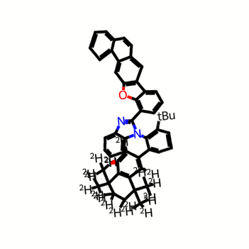 [2H]c1c([2H])c2c(c([2H])c1-c1cccc(C(C)(C)C)c1-n1c(-c3cccc4c3oc3cc5c(ccc6ccccc65)cc34)nc3ccccc31)C(C([2H])([2H])[2H])(C([2H])([2H])[2H])C([2H])([2H])C([2H])([2H])C2(C([2H])([2H])[2H])C([2H])([2H])[2H]